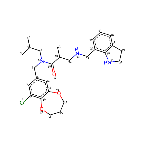 CC(C)CN(Cc1cc(Cl)c2c(c1)OCCCO2)C(=O)C(C)CNCc1cccc2c1NCC2